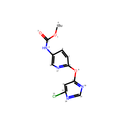 CC(C)(C)OC(=O)Nc1ccc(Oc2cc(Cl)ncn2)nc1